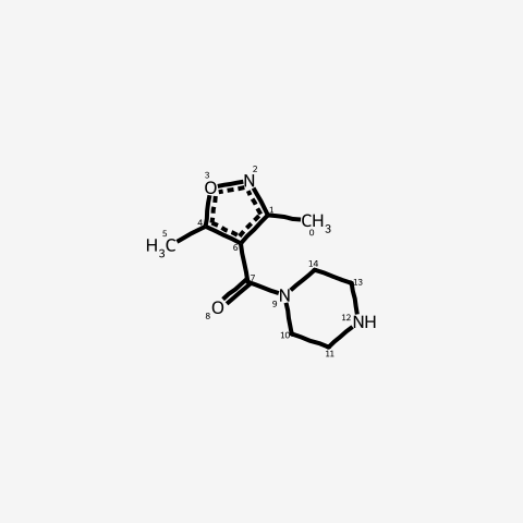 Cc1noc(C)c1C(=O)N1CCNCC1